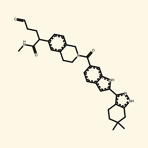 CNC(=O)C(CCC=O)c1ccc2c(c1)CCN(C(=O)c1ccc3cc(-c4n[nH]c5c4CCC(C)(C)C5)[nH]c3c1)C2